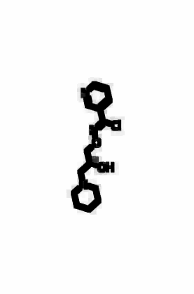 O[C@H](CON=C(Cl)c1cccnc1)CN1CCCCC1